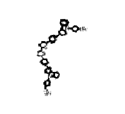 CC(C)(C)c1ccc(-n2c3ccccc3c3cc(-c4ccc(C5CC=C(C6CCC(c7ccc(-c8ccc9c(c8)c8ccccc8n9-c8ccc(C(C)(C)C)cc8)cc7)S6)S5)cc4)ccc32)cc1